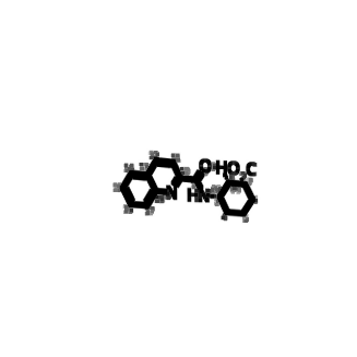 O=C(N[C@H]1CCCC[C@H]1C(=O)O)c1ccc2ccccc2n1